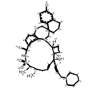 C[C@@H]1[C@@H](C)C/C=C/[C@@](O)(C#CCN2CCCCC2)[C@@H]2CC[C@H]2CN2C[C@@]3(CCCc4cc(Cl)ccc43)COc3ccc(cc32)C(=O)NS1(=O)=O